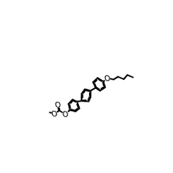 CCCCCOc1ccc(-c2ccc(-c3ccc(OC(=O)OC)cc3)cc2)cc1